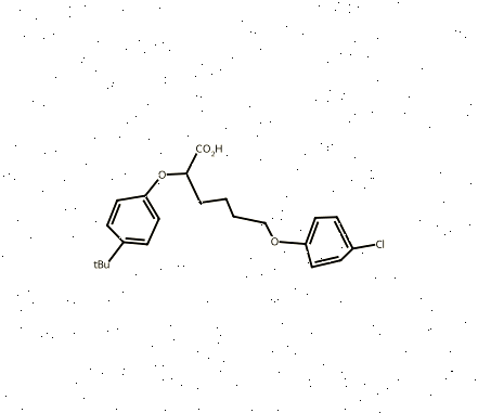 CC(C)(C)c1ccc(OC(CCCCOc2ccc(Cl)cc2)C(=O)O)cc1